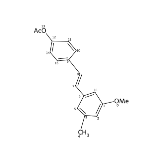 COc1cc(C)cc(/C=C/c2ccc(OC(C)=O)cc2)c1